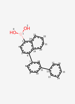 OB(O)c1ccc(-c2cccc(-c3ccccc3)c2)c2ccccc12